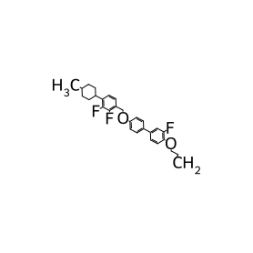 C=CCOc1ccc(-c2ccc(OCc3ccc(C4CCC(C)CC4)c(F)c3F)cc2)cc1F